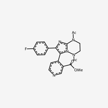 COC(=O)c1cnccc1-c1c(-c2ccc(F)cc2)nc2n1N(C(C)=O)CCN2C(C)=O